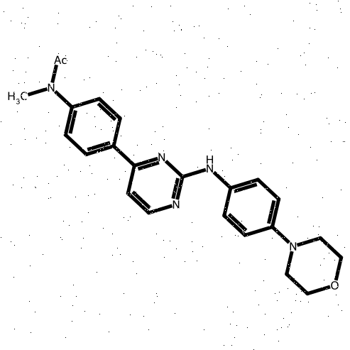 CC(=O)N(C)c1ccc(-c2ccnc(Nc3ccc(N4CCOCC4)cc3)n2)cc1